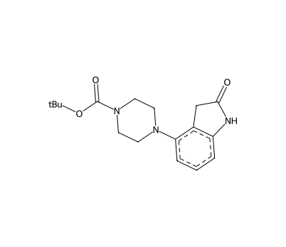 CC(C)(C)OC(=O)N1CCN(c2cccc3c2CC(=O)N3)CC1